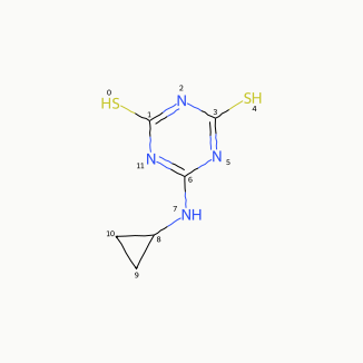 Sc1nc(S)nc(NC2CC2)n1